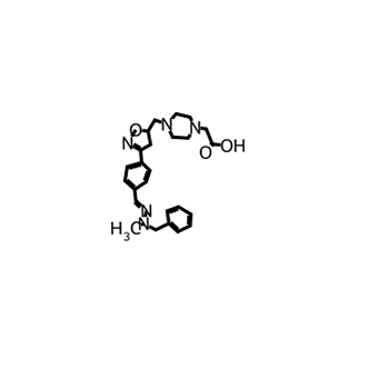 CN(Cc1ccccc1)N=Cc1ccc(C2=NOC(CN3CCN(CC(=O)O)CC3)C2)cc1